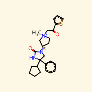 C[N+]1(CC(=O)c2cccs2)CC[C@@H](N2CC(c3ccccc3)(C3CCCC3)NC2=O)C1